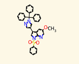 COc1cnc2c(c1)c(-c1cnn(C(c3ccccc3)(c3ccccc3)c3ccccc3)c1)cn2S(=O)(=O)c1ccccc1